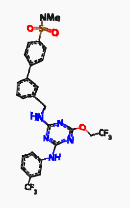 CNS(=O)(=O)c1ccc(-c2cccc(CNc3nc(Nc4cccc(C(F)(F)F)c4)nc(OCC(F)(F)F)n3)c2)cc1